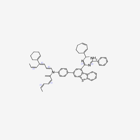 C=C(/C=C\C=C/C)N(/C=C/C=C(\C=C/C)C1=CCCCC1)c1ccc(-c2cc(C(/N=C(\N)c3ccccc3)=N/C(C)C3=CC=CCCC3)c3c(c2)sc2ccccc23)cc1